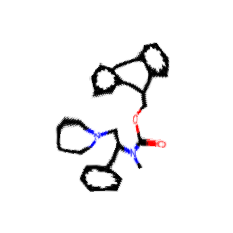 CN(C(=O)OCC1c2ccccc2-c2ccccc21)C(CN1CCCC1)c1ccccc1